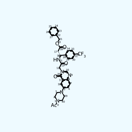 CC(=O)N1CCN(c2ccc3ncn(CC(=O)N[C@H](CC(=O)OCc4ccccc4)c4ccc(C(F)(F)F)cc4)c(=O)c3c2)CC1